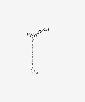 C=CCCCCCCCCCCCCCCCCCCC(C)OCCOCCO